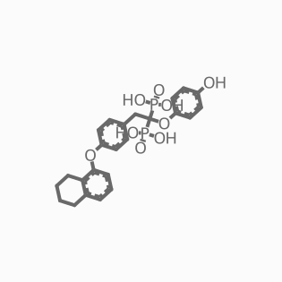 O=P(O)(O)C(Cc1ccc(Oc2cccc3c2CCCC3)cc1)(Oc1ccc(O)cc1)P(=O)(O)O